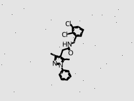 Cc1nn(-c2ccccc2)c(C)c1CC(=O)NCc1cccc(Cl)c1Cl